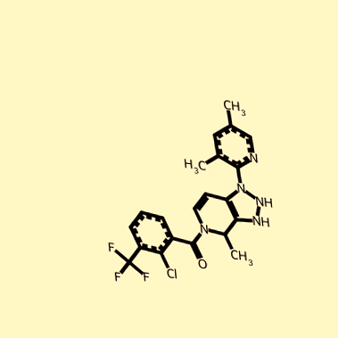 Cc1cnc(N2NNC3=C2C=CN(C(=O)c2cccc(C(F)(F)F)c2Cl)C3C)c(C)c1